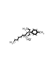 CCCCCCCC[N+](CC)(CC)c1ccc(C)cc1.[OH-]